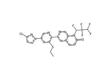 CCSc1cc(-n2ccc(Cl)n2)cnc1-c1cc2ccc(=O)n(C(F)C(F)(F)C(F)F)c2cn1